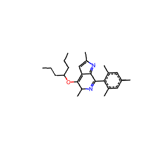 CCCC(CCC)OC1=C2C=C(C)N=C2C(c2c(C)cc(C)cc2C)=NC1C